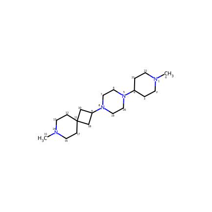 CN1CCC(N2CCN(C3CC4(CCN(C)CC4)C3)CC2)CC1